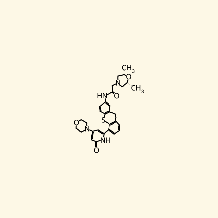 C[C@@H]1CN(CC(=O)Nc2ccc3c(c2)Cc2cccc(-c4cc(N5CCOCC5)cc(=O)[nH]4)c2S3)C[C@H](C)O1